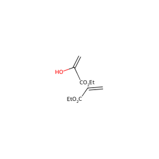 C=C(O)C(=O)OCC.C=CC(=O)OCC